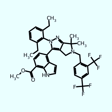 CCc1cccc(CC)c1-n1nc2c(c1-c1ccc(C(=O)OC)c3[nH]ccc13)CN(Cc1ccc(C(F)(F)F)cc1C(F)(F)F)C2(C)C